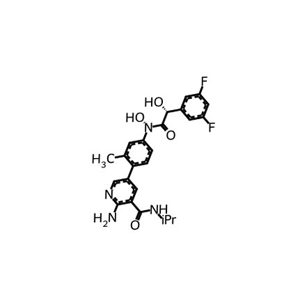 Cc1cc(N(O)C(=O)[C@H](O)c2cc(F)cc(F)c2)ccc1-c1cnc(N)c(C(=O)NC(C)C)c1